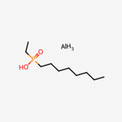 CCCCCCCCP(=O)(O)CC.[AlH3]